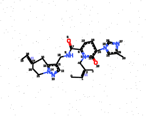 C/C=C(/C)Cn1c(C(=O)NCc2cnn3c2C/C(=C/C)CC3)ccc(-n2cnc(C)c2)c1=O